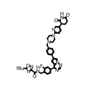 CC(C)(C)c1nc(C(=O)NCc2ccc(-c3ncnn4cc(-c5ccc(CN6CCN(c7ccc(C8CCC(=O)NC8=O)cn7)CC6)cc5)cc34)cc2F)no1